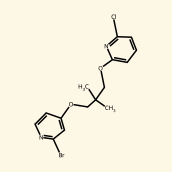 CC(C)(COc1ccnc(Br)c1)COc1cccc(Cl)n1